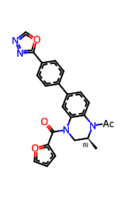 CC(=O)N1c2ccc(-c3ccc(-c4nnco4)cc3)cc2N(C(=O)c2ccco2)C[C@@H]1C